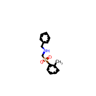 Cc1ccccc1S(=O)(=O)CNCc1ccccc1